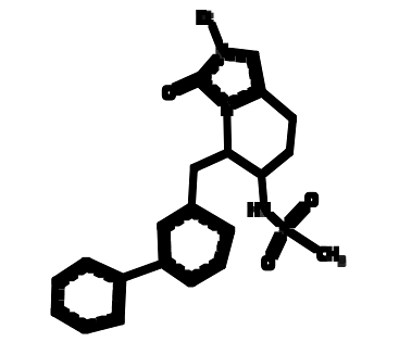 CCn1cc2n(c1=O)C(Cc1cccc(-c3ccccc3)c1)C(NS(C)(=O)=O)CC2